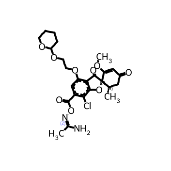 COC1=CC(=O)C[C@@H](C)[C@]12Oc1c(Cl)c(C(=O)O/N=C(/C)N)cc(OCCOC3CCCCO3)c1C2=O